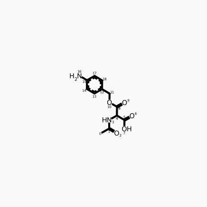 CC(=O)NC(C(=O)O)C(=O)OCc1ccc(N)cc1